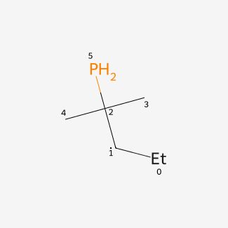 CC[CH]C(C)(C)P